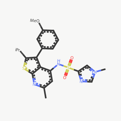 COc1cccc(-c2c(C(C)C)sc3nc(C)cc(NS(=O)(=O)c4cn(C)cn4)c23)c1